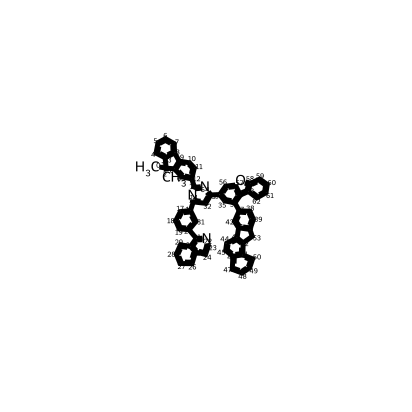 CC1(C)c2ccccc2-c2ccc(-c3nc(-c4cccc(-c5nccc6ccccc56)c4)cc(-c4cc(-c5ccc6c(c5)-c5ccc7ccccc7c5C6)c5c(c4)oc4ccccc45)n3)cc21